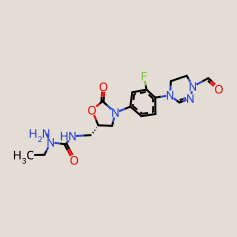 CCN(N)C(=O)NC[C@H]1CN(c2ccc(N3C=NN(C=O)CC3)c(F)c2)C(=O)O1